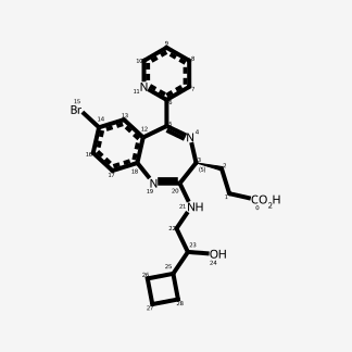 O=C(O)CC[C@@H]1N=C(c2ccccn2)c2cc(Br)ccc2N=C1NCC(O)C1CCC1